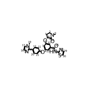 CN1CCC(Oc2cc(Oc3ccc(-c4nccn4C)cc3)cc(C(=O)Nc3nccs3)c2)C1=O